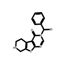 CC(C)C(c1ccccc1)n1cnc2sc3c(c2c1=O)CCNC3